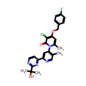 Cc1cnc(-c2ccnc(C(C)(C)O)n2)cc1-n1c(C)cc(OCc2ccc(F)cc2)c(Cl)c1=O